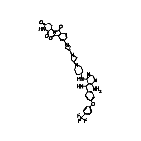 N=C(c1ccc(Oc2ccc(C(F)(F)F)cc2)cc1)c1c(N)ncnc1NC1CCN(C2CN(C3CN(c4ccc5c(c4)C(=O)N(C4CCC(=O)NC4=O)C5=O)C3)C2)CC1